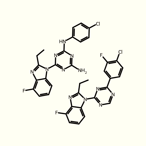 CCc1nc2c(F)cccc2n1-c1nc(N)nc(Nc2ccc(Cl)cc2)n1.CCc1nc2c(F)cccc2n1-c1ncnc(-c2ccc(Cl)c(F)c2)n1